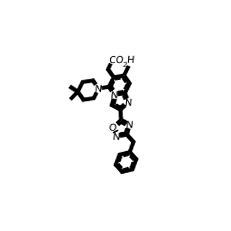 Cc1cc2nc(-c3nc(Cc4ccccc4)no3)cn2c(N2CCC(C)(C)CC2)c1CC(=O)O